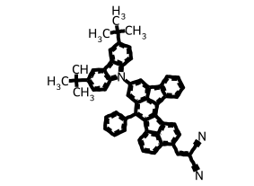 CC(C)(C)c1ccc2c(c1)c1cc(C(C)(C)C)ccc1n2-c1cc2c(-c3ccccc3)c3c4cccc5c(C=C(C#N)C#N)ccc(c54)c3c3c4ccccc4c(c1)c23